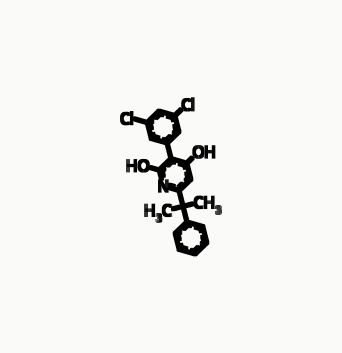 CC(C)(c1ccccc1)c1cc(O)c(-c2cc(Cl)cc(Cl)c2)c(O)n1